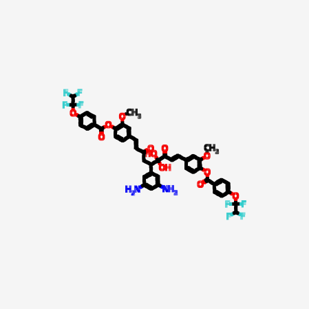 COc1cc(C=CC(=O)CC(c2cc(N)cc(N)c2)C(O)(O)C(=O)C=Cc2ccc(OC(=O)c3ccc(OC(F)(F)C(F)F)cc3)c(OC)c2)ccc1OC(=O)c1ccc(OC(F)(F)C(F)F)cc1